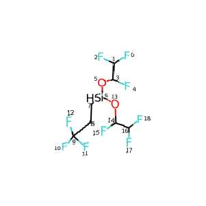 FC(F)C(F)O[SiH](CCC(F)(F)F)OC(F)C(F)F